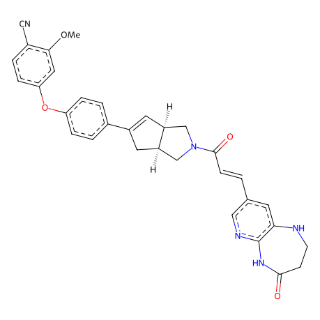 COc1cc(Oc2ccc(C3=C[C@H]4CN(C(=O)/C=C/c5cnc6c(c5)NCCC(=O)N6)C[C@H]4C3)cc2)ccc1C#N